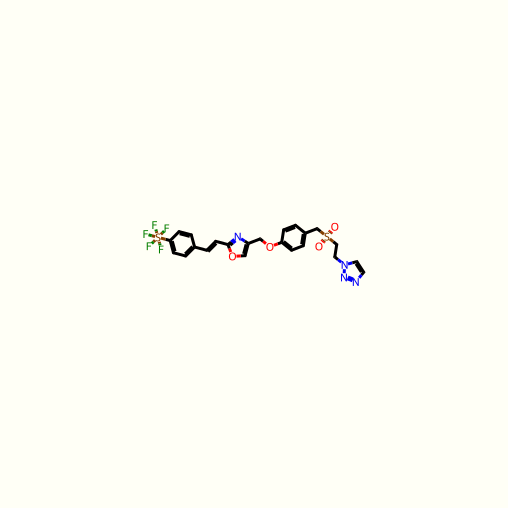 O=S(=O)(CCn1ccnn1)Cc1ccc(OCc2coc(/C=C/c3ccc(S(F)(F)(F)(F)F)cc3)n2)cc1